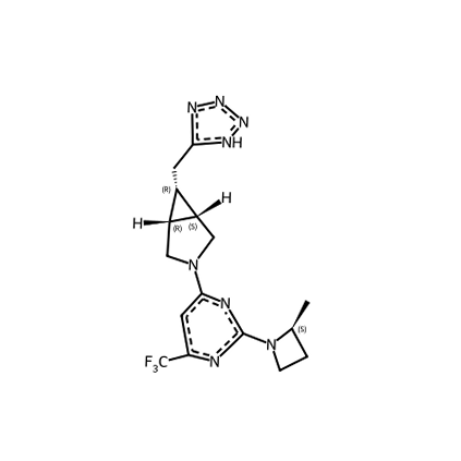 C[C@H]1CCN1c1nc(N2C[C@@H]3[C@H](Cc4nnn[nH]4)[C@@H]3C2)cc(C(F)(F)F)n1